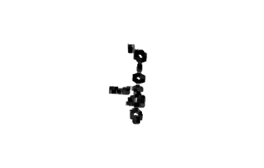 COC[C@@H]1[C@H](c2ccc(C#Cc3cccc(F)c3)cc2)CN1C(=O)CN(C)C(=O)C1CCOCC1